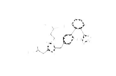 CC(C)CCn1nc(CC(C)C)nc1Cc1ccc(-c2ccccc2-c2nnn[nH]2)cc1